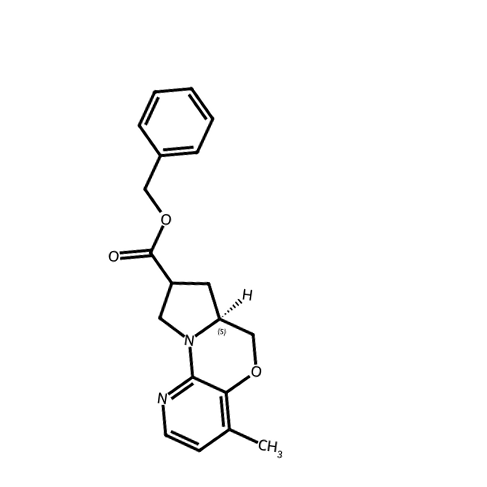 Cc1ccnc2c1OC[C@@H]1CC(C(=O)OCc3ccccc3)CN21